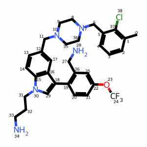 Cc1cccc(CN2CCN(Cc3ccc4c(c3)c(-c3ccc(OC(F)(F)F)cc3CN)cn4CCCN)CC2)c1Cl